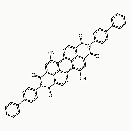 N#Cc1cc2c3c(ccc4c5c(C#N)cc6c7c(ccc(c1c34)c75)C(=O)N(c1ccc(-c3ccccc3)cc1)C6=O)C(=O)N(c1ccc(-c3ccccc3)cc1)C2=O